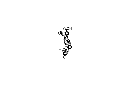 C[C@@]1(c2ccc(Cl)cn2)Oc2cccc(N3CCN(Cc4nc5ccc(C(=O)O)cc5n4C[C@@H]4CCO4)[C@@H]4CC[C@@H]43)c2O1